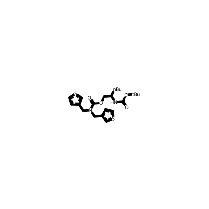 CCCCC(COC(=O)N(Cc1ccsc1)Cc1ccsc1)NC(=O)OC(C)(C)C